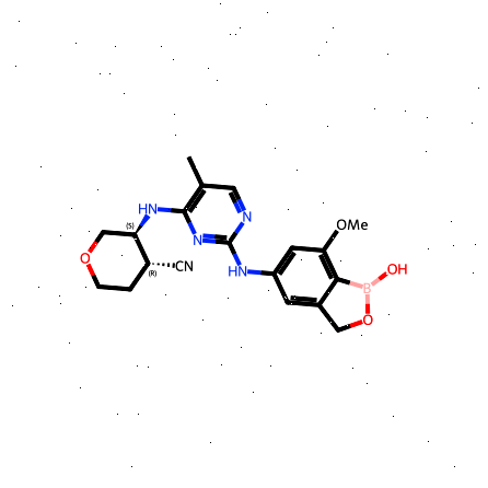 COc1cc(Nc2ncc(C)c(N[C@@H]3COCC[C@H]3C#N)n2)cc2c1B(O)OC2